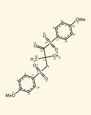 COc1ccc(S(=O)(=O)CC(C)(C)C(=O)S(=O)(=O)c2ccc(OC)cc2)cc1